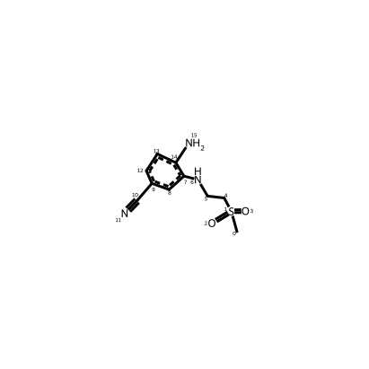 CS(=O)(=O)CCNc1cc(C#N)ccc1N